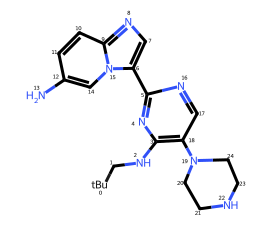 CC(C)(C)CNc1nc(-c2cnc3ccc(N)cn23)ncc1N1CCNCC1